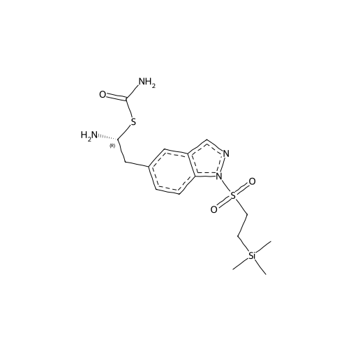 C[Si](C)(C)CCS(=O)(=O)n1ncc2cc(C[C@H](N)SC(N)=O)ccc21